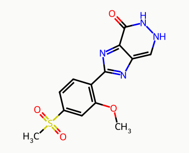 COc1cc(S(C)(=O)=O)ccc1-c1nc2c[nH][nH]c(=O)c-2n1